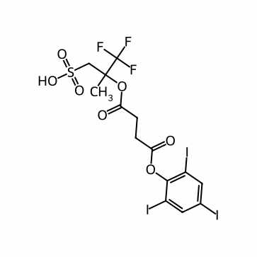 CC(CS(=O)(=O)O)(OC(=O)CCC(=O)Oc1c(I)cc(I)cc1I)C(F)(F)F